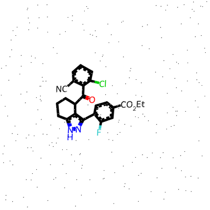 CCOC(=O)c1ccc(-c2n[nH]c3c2C(C(=O)c2c(Cl)cccc2C#N)CCC3)c(F)c1